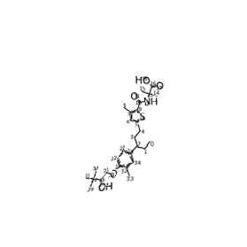 CCC(CCc1cc(C)c(C(=O)NC(C)(C)C(=O)O)s1)c1ccc(OCC(O)C(C)(C)C)c(C)c1